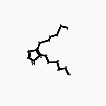 CCCCCCc1nc[nH]c1CCCCCC